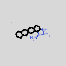 NNc1ccc2cc3cc4ccccc4cc3cc2c1NN